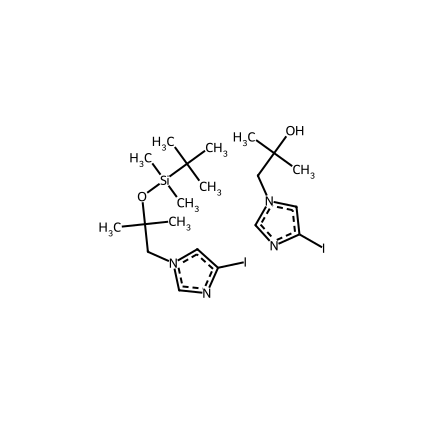 CC(C)(Cn1cnc(I)c1)O[Si](C)(C)C(C)(C)C.CC(C)(O)Cn1cnc(I)c1